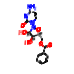 Nc1ccn(N2O[C@H](COC(=O)c3ccccc3)[C@@H](O)[C@H]2O)c(=O)n1